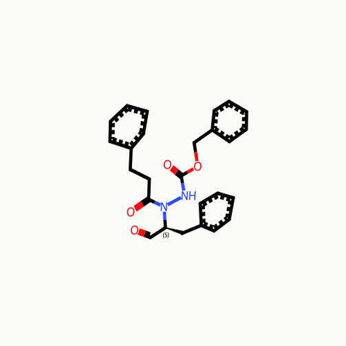 O=C[C@H](Cc1ccccc1)N(NC(=O)OCc1ccccc1)C(=O)CCc1ccccc1